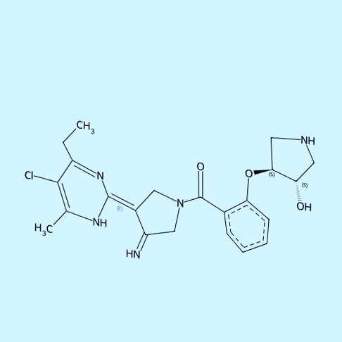 CCC1=N/C(=C2\CN(C(=O)c3ccccc3O[C@H]3CNC[C@@H]3O)CC2=N)NC(C)=C1Cl